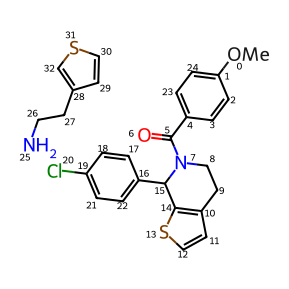 COc1ccc(C(=O)N2CCc3ccsc3C2c2ccc(Cl)cc2)cc1.NCCc1ccsc1